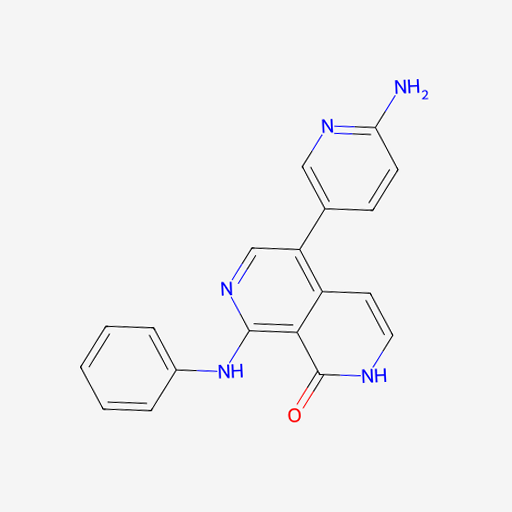 Nc1ccc(-c2cnc(Nc3ccccc3)c3c(=O)[nH]ccc23)cn1